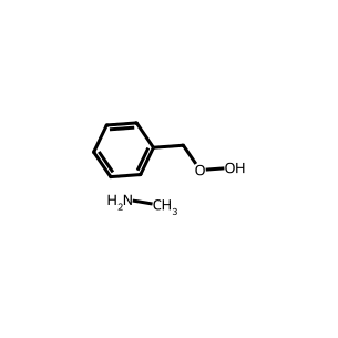 CN.OOCc1ccccc1